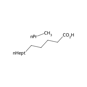 CCCC.CCCCCCCCCCCC(=O)O